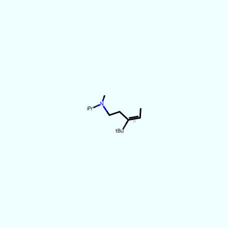 C/C=C(\CCN(C)C(C)C)C(C)(C)C